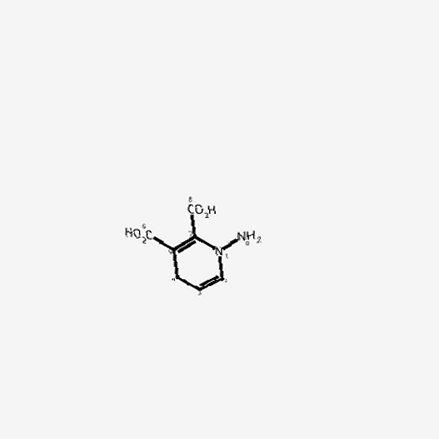 NN1C=CCC(C(=O)O)=C1C(=O)O